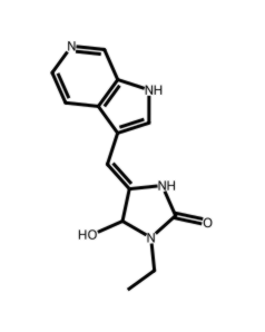 CCN1C(=O)N/C(=C\c2c[nH]c3cnccc23)C1O